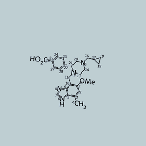 COc1cc(C)c2[nH]cnc2c1CN1CCN(CC2CC2)C[C@H]1c1ccc(C(=O)O)cc1